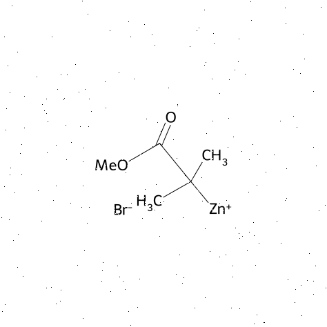 COC(=O)[C](C)(C)[Zn+].[Br-]